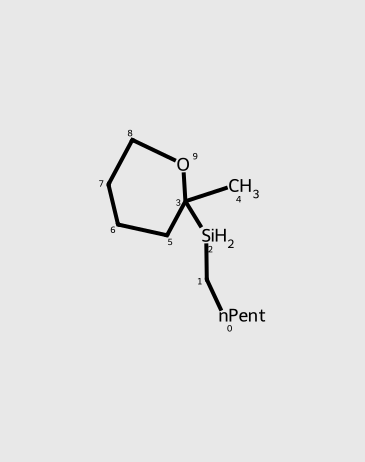 CCCCCC[SiH2]C1(C)CCCCO1